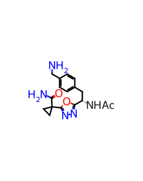 CC(=O)N[C@@H](Cc1ccc(CN)cc1)c1nnc(C2(C(N)=O)CC2)o1